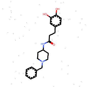 O=C(CCc1ccc(O)c(O)c1)NC1CCN(Cc2ccccc2)CC1